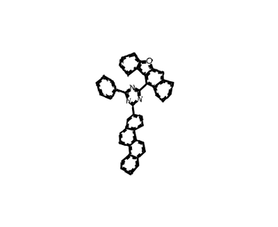 c1ccc(-c2nc(-c3ccc4c(ccc5c6ccccc6ccc45)c3)nc(-c3c4ccccc4cc4oc5ccccc5c34)n2)cc1